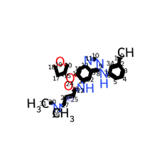 C#Cc1cccc(Nc2ncnc3cc(OC4CCOC4)c(NC(=O)/C=C/CN(C)CC)cc23)c1